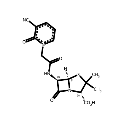 CC1(C)S[C@@H]2[C@H](NC(=O)Cn3cccc(C#N)c3=O)C(=O)N2[C@H]1C(=O)O